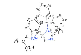 CCC(CNCc1cnc(C)n1C(c1ccccc1)(c1ccccc1)c1ccccc1)C(=O)O